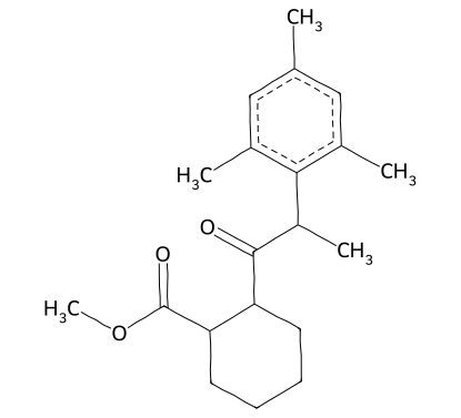 COC(=O)C1CCCCC1C(=O)C(C)c1c(C)cc(C)cc1C